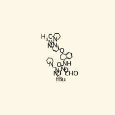 C[C@H]1CCCCN1c1nnc2ccc(O[C@@H]3CC[C@H](NC(=O)N(OC=O)c4cc(C(C)(C)C)nn4CCN4CCCCC4)c4ccccc43)cn12